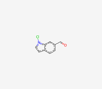 O=Cc1ccc2ccn(Cl)c2c1